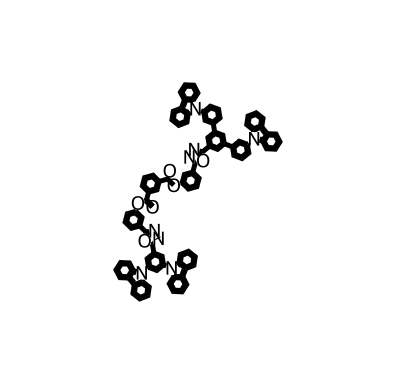 O=C(Oc1cccc(-c2nnc(-c3cc(-c4cccc(-n5c6ccccc6c6ccccc65)c4)cc(-c4cccc(-n5c6ccccc6c6ccccc65)c4)c3)o2)c1)c1cccc(C(=O)Oc2cccc(-c3nnc(-c4cc(-n5c6ccccc6c6ccccc65)cc(-n5c6ccccc6c6ccccc65)c4)o3)c2)c1